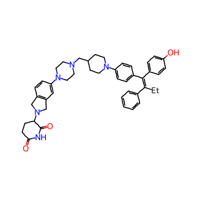 CCC(=C(c1ccc(O)cc1)c1ccc(N2CCC(CN3CCN(c4ccc5c(c4)CN(C4CCC(=O)NC4=O)C5)CC3)CC2)cc1)c1ccccc1